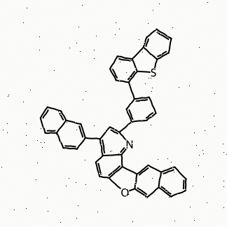 c1cc(-c2cc(-c3ccc4ccccc4c3)c3ccc4oc5cc6ccccc6cc5c4c3n2)cc(-c2cccc3c2sc2ccccc23)c1